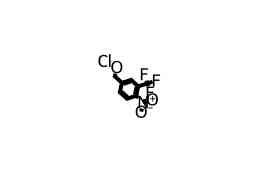 O=[N+]([O-])c1ccc(COCl)cc1C(F)(F)F